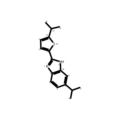 CC(C)c1ccc2nc(-c3ccc(C(C)C)s3)[nH]c2c1